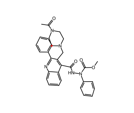 COC(=O)N(NC(=O)c1c(CN2CCN(C(C)=O)CC2)c(-c2ccccc2)nc2ccccc12)c1ccccc1